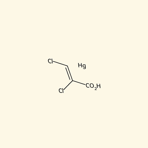 O=C(O)C(Cl)=CCl.[Hg]